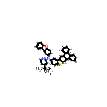 CC(C)(C)c1ccnc(N(c2ccc3oc4ccccc4c3c2)c2ccc3sc4cc5c6ccccc6c6ccccc6c5cc4c3c2)c1